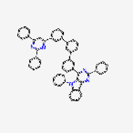 c1ccc(-c2cc(-c3cccc(-c4cccc(-c5cccc(-c6nc(-c7ccccc7)nc7c8ccccc8n(-c8ccccc8)c67)c5)c4)c3)nc(-c3ccccc3)n2)cc1